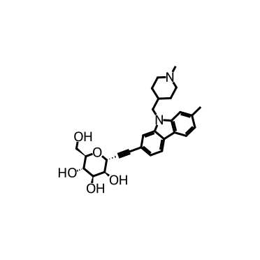 Cc1ccc2c3ccc(C#C[C@H]4O[C@H](CO)[C@@H](O)[C@H](O)[C@@H]4O)cc3n(CC3CCN(C)CC3)c2c1